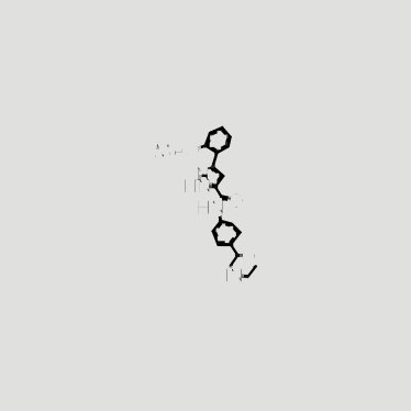 COc1ccccc1-c1cc(C(=O)Nc2ccc(C3CNCCO3)cc2)[nH]n1